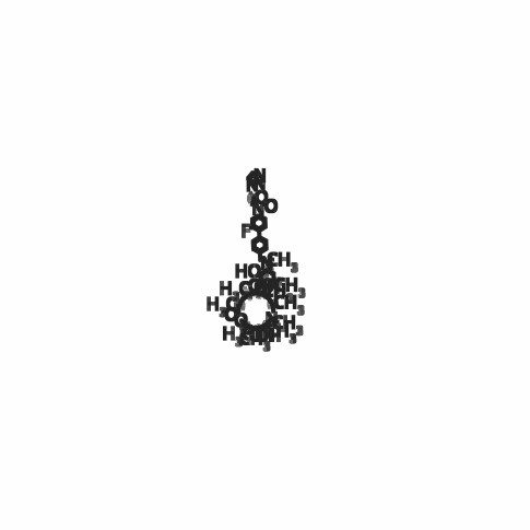 CC[C@H]1OC(=O)[C@H](C)C[C@H](C)[C@@H](O[C@@H]2O[C@H](C)C[C@H](N(C)Cc3ccc(-c4ccc(N5C[C@H](Cn6ccnn6)OC5=O)cc4F)cc3)[C@H]2O)[C@](C)(O)C[C@@H](C)CN(C)[C@H](C)[C@@H](O)[C@]1(C)O